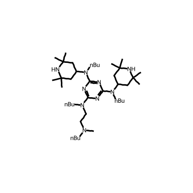 CCCCN(C)CCN(CCCC)c1nc(N(CCCC)C2CC(C)(C)NC(C)(C)C2)nc(N(CCCC)C2CC(C)(C)NC(C)(C)C2)n1